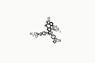 C=CC(=O)N1CC2(CCN(c3nc(N4CCC(CC#N)(N5CCC5)CC4)nc4c(OCC(F)(F)F)c(-c5c(C)ccc6[nH]ncc56)c(C5CC5)cc34)CC2)C1